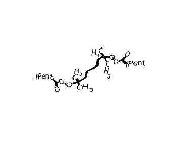 CCCC(C)C(=O)OOC(C)(C)CCCCC(C)(C)OOC(=O)C(C)CCC